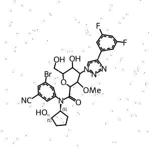 COC1C(C(=O)N(c2cc(Br)cc(C#N)c2)[C@H]2CCC[C@@H]2O)OC(CO)C(O)C1n1cc(-c2cc(F)cc(F)c2)nn1